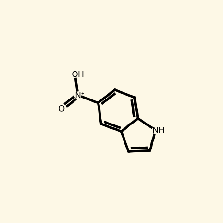 O=[N+](O)c1ccc2[nH]ccc2c1